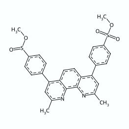 COS(=O)c1ccc(-c2cc(C)nc3c2ccc2c(-c4ccc(S(=O)(=O)OC)cc4)cc(C)nc23)cc1